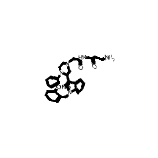 COc1ccccc1Cn1cc(C2CN(CC(=O)NC(=O)CCN)CCN2c2ccccc2)c2ccccc21